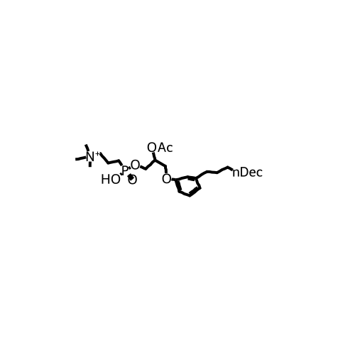 CCCCCCCCCCCCCc1cccc(OCC(COP(=O)(O)CCC[N+](C)(C)C)OC(C)=O)c1